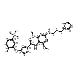 COc1nc(NCCCn2ccnc2)nc(OC)c1NC(=O)c1ccc(Oc2cc([Si](C)(C)C)ccc2C)o1